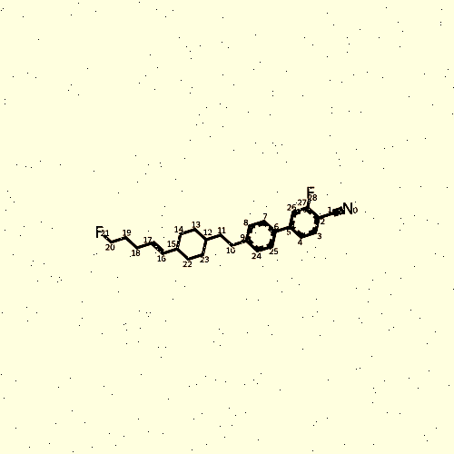 N#Cc1ccc(-c2ccc(CCC3CCC(C=CCCCF)CC3)cc2)cc1F